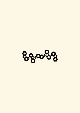 C1=CC2C(C(c3cccc4c3-c3ccccc3C4)=C1)c1ccccc1N2c1ccc2cc(-n3c4c(c5c(-c6cccc7c6-c6ccccc6C7)cccc53)C=CCC4)ccc2c1